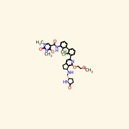 COCCOc1nc(-c2cccc(-c3cccc(NC(=O)c4cn(C)c(=O)n(C)c4=O)c3C)c2Cl)cc2c1[C@@H](NC[C@@H]1CCC(=O)N1)CC2